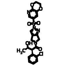 C[C@@H](O)[C@@H](C(=O)N1Cc2cn(S(=O)(=O)c3cnc4c(c3)OCCO4)nc2C1)c1ccccc1Cl